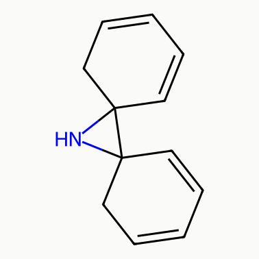 C1=CCC2(C=C1)NC21C=CC=CC1